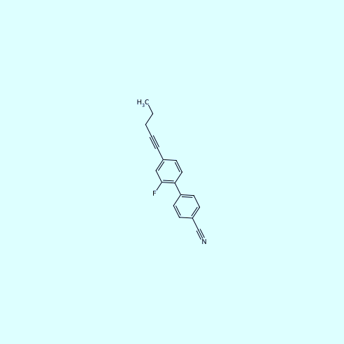 CCCC#Cc1ccc(-c2ccc(C#N)cc2)c(F)c1